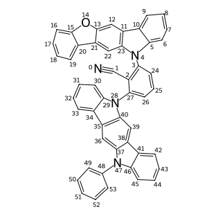 N#Cc1c(-n2c3ccccc3c3cc4oc5ccccc5c4cc32)cccc1-n1c2ccccc2c2cc3c(cc21)c1ccccc1n3-c1ccccc1